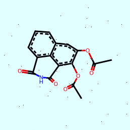 CC(=O)Oc1cc2cccc3c2c(c1OC(C)=O)C(=O)NC3=O